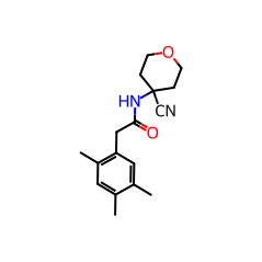 Cc1cc(C)c(CC(=O)NC2(C#N)CCOCC2)cc1C